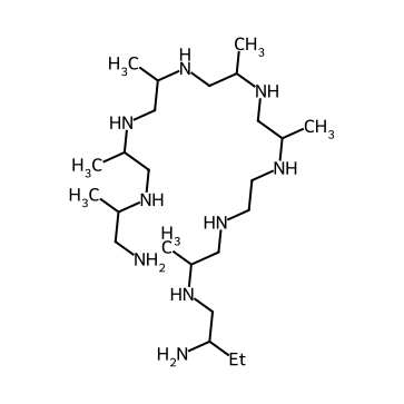 CCC(N)CNC(C)CNCCNC(C)CNC(C)CNC(C)CNC(C)CNC(C)CN